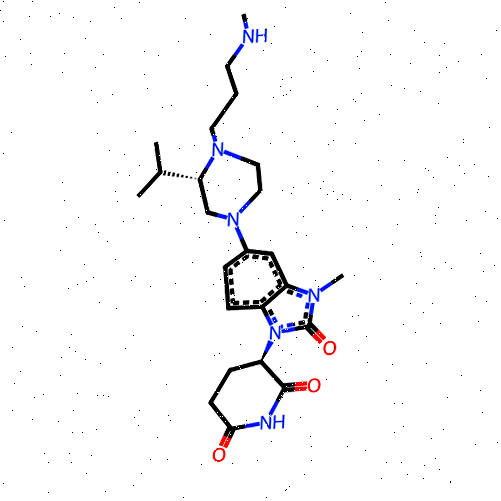 CNCCCN1CCN(c2ccc3c(c2)n(C)c(=O)n3[C@@H]2CCC(=O)NC2=O)C[C@@H]1C(C)C